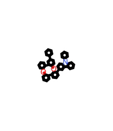 c1ccc(-c2ccc3c(c2)-c2ccccc2Oc2ccccc2-c2cccc(-c4ccc5c(c4)c4ccccc4n5-c4ccccc4)c2O3)cc1